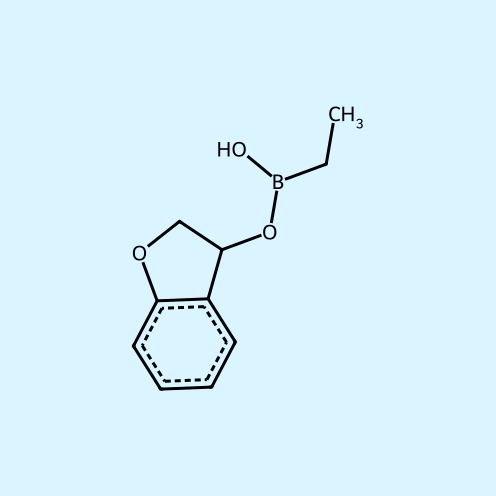 CCB(O)OC1COc2ccccc21